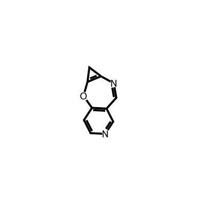 C1=NC2=C(C2)Oc2ccncc21